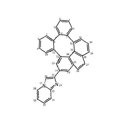 c1ccc2c(c1)c1ccccc1c1cc(-c3cn4ccccc4n3)cc3ccc4cccc2c4c31